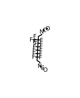 O=C=NCCC(F)(F)C(F)(F)C(F)(F)C(F)(F)C(F)(F)C(F)(CCN=C=O)C(F)(F)F